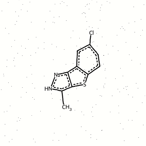 Cc1[nH]nc2c1sc1ccc(Cl)cc12